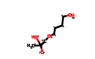 CC([O])(O)COCCCCO